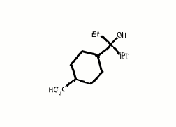 CCC(O)(C(C)C)C1CCC(C(=O)O)CC1